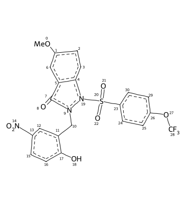 COc1ccc2c(c1)c(=O)n(Cc1cc([N+](=O)[O-])ccc1O)n2S(=O)(=O)c1ccc(OC(F)(F)F)cc1